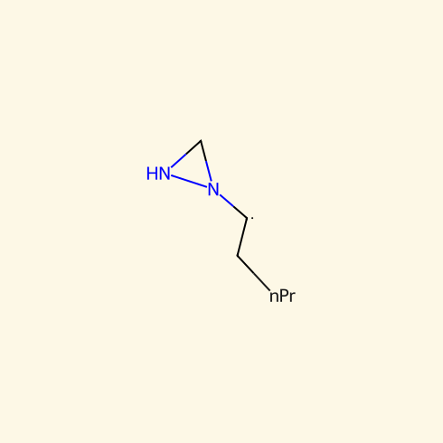 CCCC[CH]N1CN1